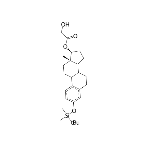 CC(C)(C)[Si](C)(C)Oc1ccc2c(c1)CCC1C2CC[C@@]2(C)C1CC[C@@H]2OC(=O)CO